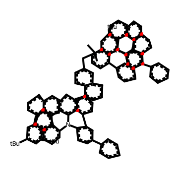 CC(C)(C)c1cc(-c2cccc3cccc(-c4ccccc4N(c4ccc(-c5ccccc5)cc4-c4ccccc4)c4cc(-c5cccc6cc(CC(C)(C)c7cc(-c8cccc9cccc(-c%10ccccc%10N(c%10ccccc%10-c%10ccccc%10)c%10ccc(-c%11ccccc%11)cc%10-c%10ccccc%10)c89)cc(C(C)(C)C)c7)ccc56)ccc4-c4ccccc4)c23)cc(C(C)(C)C)c1